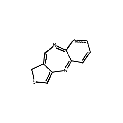 C1=C2CSC=C2N=c2ccccc2=N1